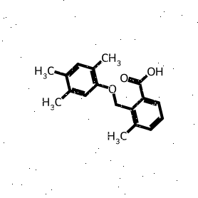 Cc1cc(C)c(OCc2c(C)cccc2C(=O)O)cc1C